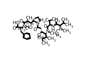 CC[C@H](C)[C@@H]([C@@H](CC(=O)N1CCC[C@H]1[C@H](OC)[C@@H](C)C(=O)N[C@@H](Cc1ccccc1)C(=O)O)OC)N(C)C(=O)C(NC(=O)C(C(C)C)N(C)C)C(C)C